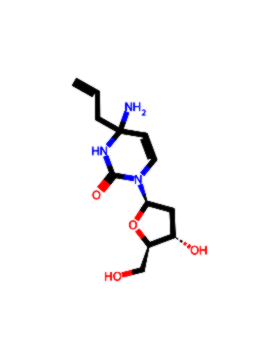 C=CCC1(N)C=CN([C@H]2C[C@H](O)[C@@H](CO)O2)C(=O)N1